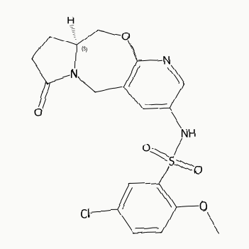 COc1ccc(Cl)cc1S(=O)(=O)Nc1cnc2c(c1)CN1C(=O)CC[C@H]1CO2